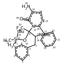 CC(=O)NC(Cc1ccccc1)C(O[Si](C)(C)C(C)(C)C)(n1c(-c2ccccc2)ncc(N)c1=O)C(F)(F)F